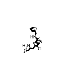 COC[C@H](N)Cc1sc2c(NCc3ccco3)snc2c1Cl